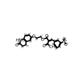 CC(=O)C(=Cc1cccc([N+](=O)[O-])c1)C(=O)OCCOc1ccc2c(c1)CCC(=O)N2